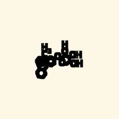 CC1(c2cccc(O[C@@H]3OC[C@@H](O)[C@H](O)C3O)c2)OOC12C1CCCC2C2CCCCC2C1